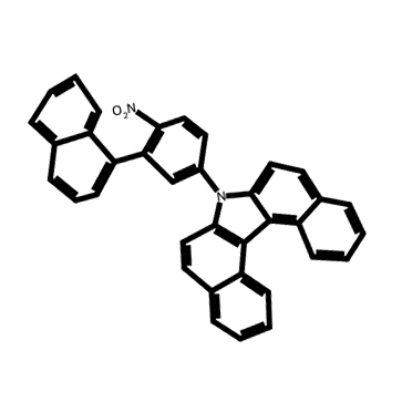 O=[N+]([O-])c1ccc(-n2c3ccc4ccccc4c3c3c4ccccc4ccc32)cc1-c1cccc2ccccc12